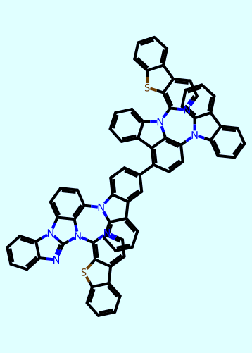 c1ccc2c(c1)nc1n(-c3nccc4c3sc3ccccc34)c3c(-n4c5ccccc5c5cc(-c6ccc(-n7c8ccccc8c8ccccc87)c7c6c6ccccc6n7-c6nccc7c6sc6ccccc67)ccc54)cccc3n21